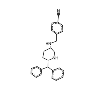 N#Cc1ccc(CN[C@H]2CC[C@@H](C(c3ccccc3)c3ccccc3)NC2)cc1